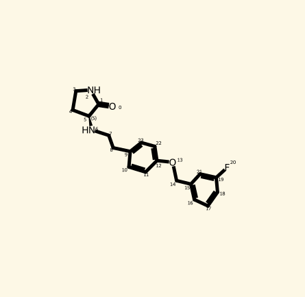 O=C1NCC[C@@H]1NCCc1ccc(OCc2cccc(F)c2)cc1